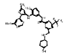 CNc1cc(-n2nc(C)cc2Nc2cc(NC(=O)c3cc(CNC4CCC(O)CC4)cc(C(C)(F)F)c3)ccc2C)ncn1